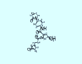 O=C(Nc1ccc(N2CCOCC2=O)cc1)[C@H]1C[C@@H](O)CN1C(=O)/C=C/c1ccc(Cl)s1